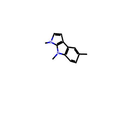 Cc1ccc2c(c1)c1ccn(C)c1n2C